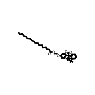 CCCCCCCCCCCCCCCCCC(=O)OCCOc1ccc(C2(C(C)(C)C)C(=O)Oc3cccc(C(C)(C)C)c32)cc1